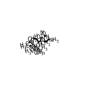 CC(C)[Si]1(C(C)C)OC[C@H]2O[C@@](C#N)(n3ccc(N)nc3=O)[C@@H](C)[C@@H]2O[Si](C(C)C)(C(C)C)O1